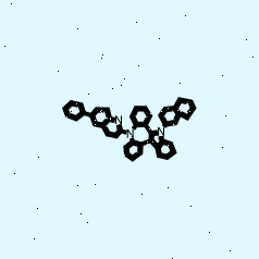 c1ccc(-c2ccc3nc(N4c5ccccc5-c5c(n(-c6ccc7ccccc7c6)c6ccccc56)-c5ccccc54)ccc3c2)cc1